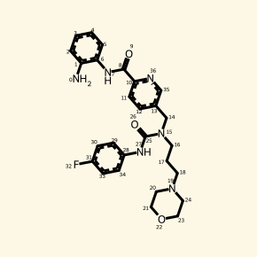 Nc1ccccc1NC(=O)c1ccc(CN(CCCN2CCOCC2)C(=O)Nc2ccc(F)cc2)cn1